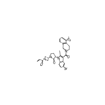 C=CC(=O)N1CC(N2CCC(n3c(C)c(C(=O)N4CCc5c(cccc5OC)C4)c4cc(Br)ccc43)C2=O)C1